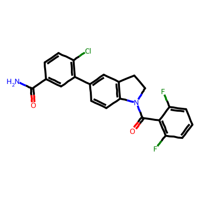 NC(=O)c1ccc(Cl)c(-c2ccc3c(c2)CCN3C(=O)c2c(F)cccc2F)c1